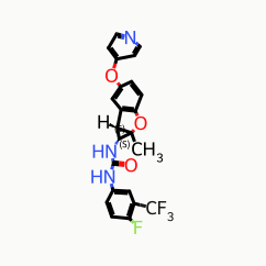 CC12Oc3ccc(Oc4ccncc4)cc3[C@H]1[C@@H]2NC(=O)Nc1ccc(F)c(C(F)(F)F)c1